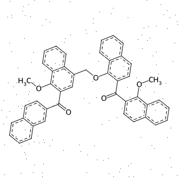 COc1c(C(=O)c2ccc3ccccc3c2OCc2cc(C(=O)c3ccc4ccccc4c3)c(OC)c3ccccc23)ccc2ccccc12